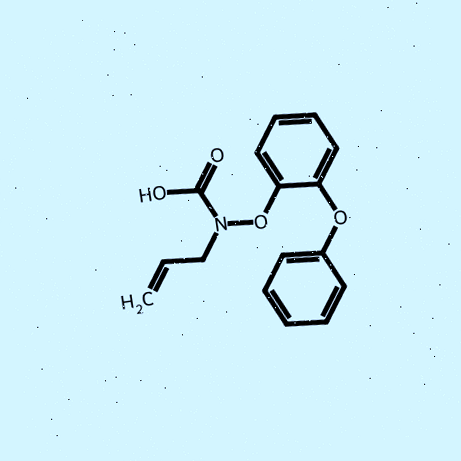 C=CCN(Oc1ccccc1Oc1ccccc1)C(=O)O